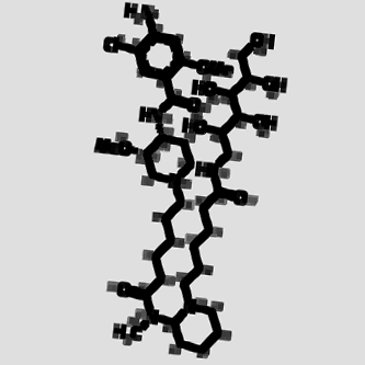 COc1cc(N)c(Cl)cc1C(=O)N[C@@H]1CCN(CCCCCC(=O)N(C)C2CCCCN2CCCCCC(=O)NCC(O)C(O)C(O)C(O)CO)C[C@@H]1OC